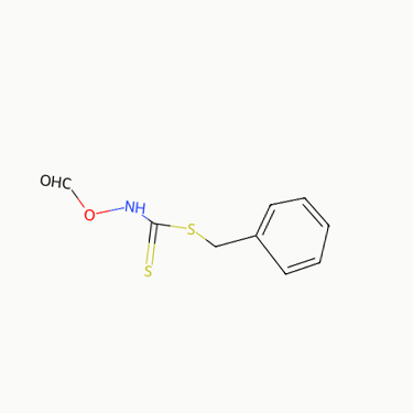 O=CONC(=S)SCc1ccccc1